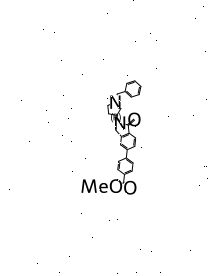 COC(=O)c1ccc(-c2ccc3c(c2)CN([C@@H]2CCN(Cc4ccccc4)C2)C3=O)cc1